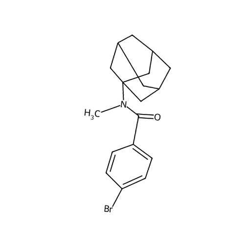 CN(C(=O)c1ccc(Br)cc1)C12CC3CC(CC(C3)C1)C2